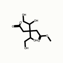 COC(=O)CC(CC(=O)Cl)(C(O)CO)C(O)CO